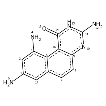 Nc1cc(N)c2c(ccc3nc(N)[nH]c(=O)c32)c1